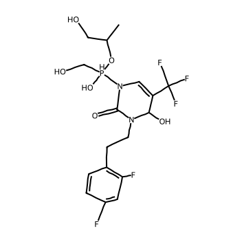 CC(CO)O[PH](O)(CO)N1C=C(C(F)(F)F)C(O)N(CCc2ccc(F)cc2F)C1=O